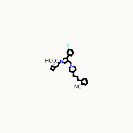 N#Cc1ccccc1CCCC1CCN(CC2CN([C@H](CC3CCC3)C(=O)O)CC2c2cccc(F)c2)CC1